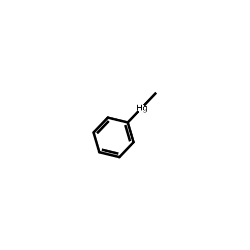 [CH3][Hg][c]1ccccc1